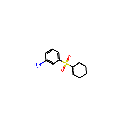 Nc1cccc(S(=O)(=O)C2CCCCC2)c1